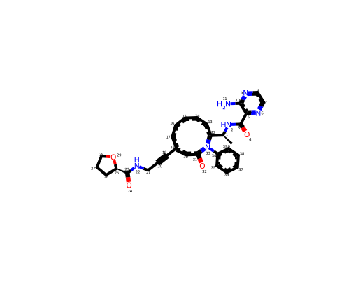 C[C@H](NC(=O)c1nccnc1N)c1cccccc(C#CCNC(=O)[C@H]2CCCO2)cc(=O)n1-c1ccccc1